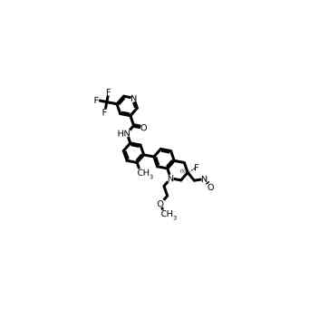 COCCN1C[C@](F)(CN=O)Cc2ccc(-c3cc(NC(=O)c4cncc(C(F)(F)F)c4)ccc3C)cc21